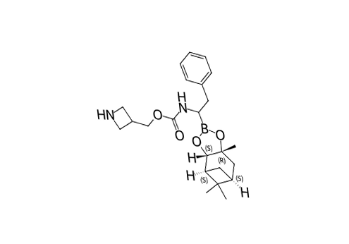 CC1(C)[C@H]2C[C@@H]1[C@@H]1OB(C(Cc3ccccc3)NC(=O)OCC3CNC3)O[C@]1(C)C2